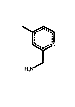 Cc1ccnc(CN)c1